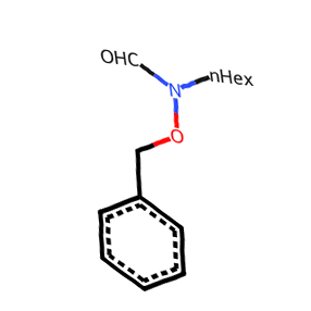 [CH2]CCCCCN(C=O)OCc1ccccc1